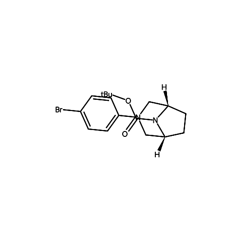 CC(C)(C)OC(=O)N1[C@@H]2CC[C@H]1CN(c1ccc(Br)cc1)C2